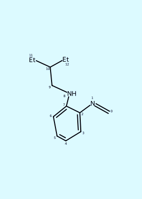 C=Nc1ccccc1NCC(CC)CC